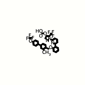 Cc1cc(-c2ccc(OC(F)(F)F)cc2)ccc1COc1ccccc1-c1cccc(-n2ncc(OC(=O)O)c2C(F)(F)F)n1